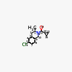 C[C@@H]1Cc2cc(Cl)ccc2CN1C(=O)C1CC1